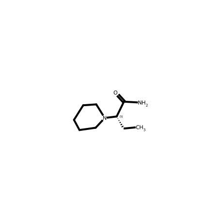 CC[C@@H](C(N)=O)N1CCCCC1